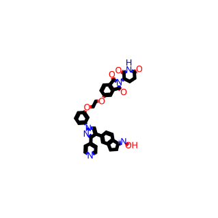 O=C1CCC(N2C(=O)c3ccc(OCCOc4cccc(-n5cc(-c6ccc7c(c6)CC/C7=N\O)c(-c6ccncc6)n5)c4)cc3C2=O)C(=O)N1